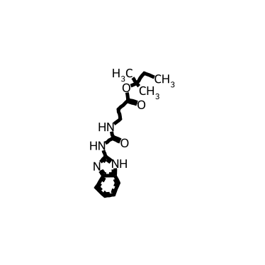 CCC(C)(C)OC(=O)CCNC(=O)Nc1nc2ccccc2[nH]1